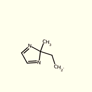 [CH2]CC1(C)N=CC=N1